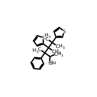 CC(C(C)(C)C)C(C)(c1ccccc1)C(C)(c1cccs1)C(C)(C)c1ccsc1